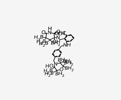 BC1(B)OC(B)(B)C(B)(O)N(Cc2ccc(CNc3cccc(C=O)c3CN(C)C3(O)C(=O)NC(=O)C(B)(B)C3(B)B)cc2)C1(B)B